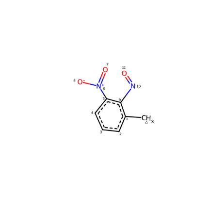 Cc1cccc([N+](=O)[O-])c1N=O